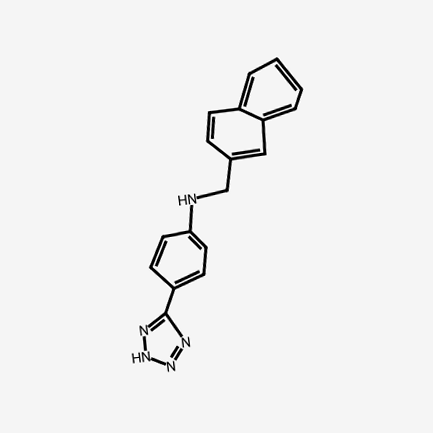 c1ccc2cc(CNc3ccc(-c4nn[nH]n4)cc3)ccc2c1